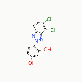 Oc1ccc(-n2nc3ccc(Cl)c(Cl)c3n2)c(O)c1